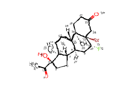 CC(=O)[C@@]1(O)CC[C@H]2[C@@H]3C[C@@H](F)[C@@]4(Br)CC(=O)CC[C@]4(C)[C@H]3CC[C@@]21C